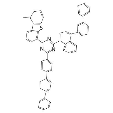 CC1CC=Cc2sc3c(-c4nc(-c5ccc(-c6ccc(-c7ccccc7)cc6)cc5)nc(-c5ccc(-c6cccc(-c7ccccc7)c6)c6ccccc56)n4)cccc3c21